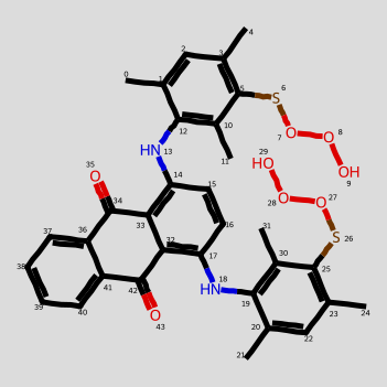 Cc1cc(C)c(SOOO)c(C)c1Nc1ccc(Nc2c(C)cc(C)c(SOOO)c2C)c2c1C(=O)c1ccccc1C2=O